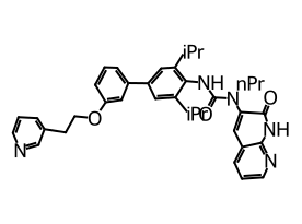 CCCN(C(=O)Nc1c(C(C)C)cc(-c2cccc(OCCc3cccnc3)c2)cc1C(C)C)c1cc2cccnc2[nH]c1=O